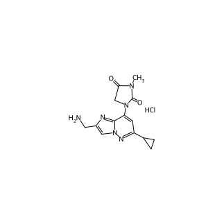 CN1C(=O)CN(c2cc(C3CC3)nn3cc(CN)nc23)C1=O.Cl